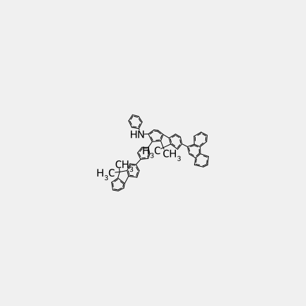 CC1(C)c2ccccc2-c2ccc(-c3ccc(-c4c(Nc5ccccc5)ccc5c4C(C)(C)c4cc(-c6cc7ccccc7c7ccccc67)ccc4-5)cc3)cc21